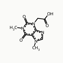 Cn1c(=O)c2c(ncn2C)n(CC(=O)O)c1=O